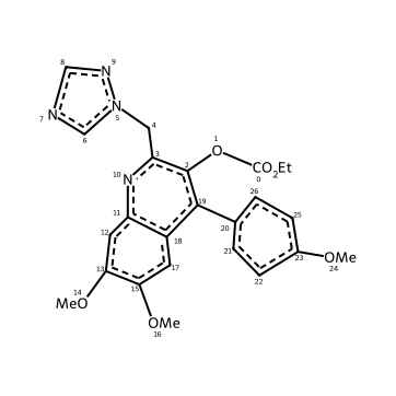 CCOC(=O)Oc1c(Cn2cncn2)nc2cc(OC)c(OC)cc2c1-c1ccc(OC)cc1